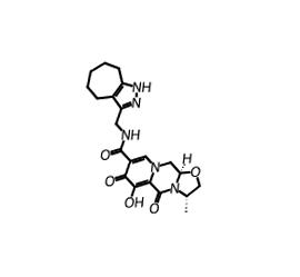 C[C@H]1CO[C@@H]2Cn3cc(C(=O)NCc4n[nH]c5c4CCCCC5)c(=O)c(O)c3C(=O)N12